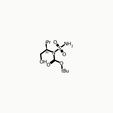 CC(C)[C@H](CO)N(C(=O)OC(C)(C)C)S(N)(=O)=O